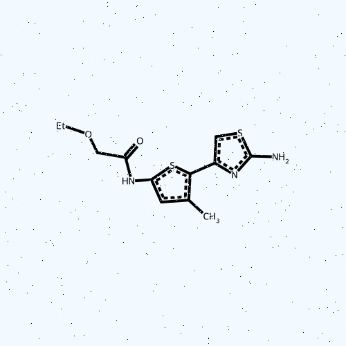 CCOCC(=O)Nc1cc(C)c(-c2csc(N)n2)s1